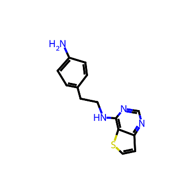 Nc1ccc(CCNc2ncnc3ccsc23)cc1